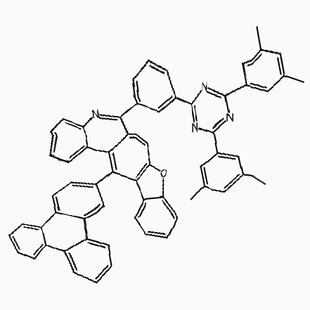 Cc1cc(C)cc(-c2nc(-c3cc(C)cc(C)c3)nc(-c3cccc(-c4nc5ccccc5c5c(-c6ccc7c8ccccc8c8ccccc8c7c6)c6c(cc45)oc4ccccc46)c3)n2)c1